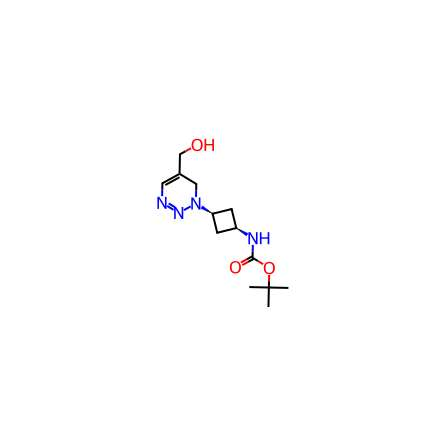 CC(C)(C)OC(=O)N[C@H]1C[C@@H](N2CC(CO)=CN=N2)C1